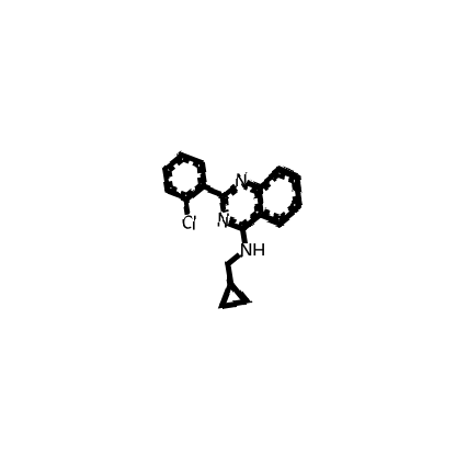 Clc1ccccc1-c1nc(NCC2CC2)c2ccccc2n1